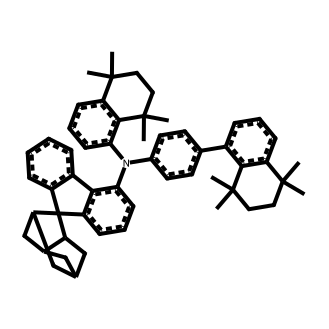 CC1(C)CCC(C)(C)c2c(-c3ccc(N(c4cccc5c4-c4ccccc4C54C5CC6CC(C5)C4C6)c4cccc5c4C(C)(C)CCC5(C)C)cc3)cccc21